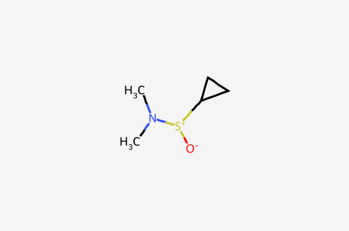 CN(C)[S+]([O-])C1CC1